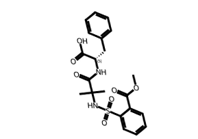 COC(=O)c1ccccc1S(=O)(=O)NC(C)(C)C(=O)N[C@@H](Cc1ccccc1)C(=O)O